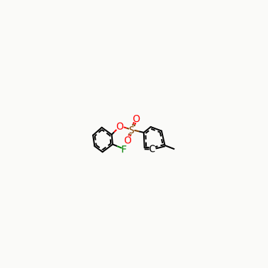 Cc1ccc(S(=O)(=O)Oc2ccccc2F)cc1